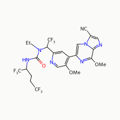 CCN(C(=O)NC(CCC(F)(F)F)C(F)(F)F)C(c1cc(-c2cn3c(C#N)cnc3c(OC)n2)c(OC)cn1)C(F)(F)F